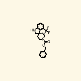 O=C(OCc1ccccc1)N1CCC2(CC1)CNc1cccc(C(F)(F)F)c12